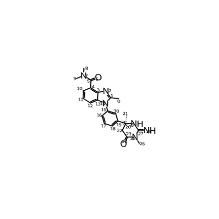 Cc1nc2c(C(=O)N(C)C)cccc2n1-c1cccc([C@]2(C)CC(=O)N(C)C(=N)N2)c1